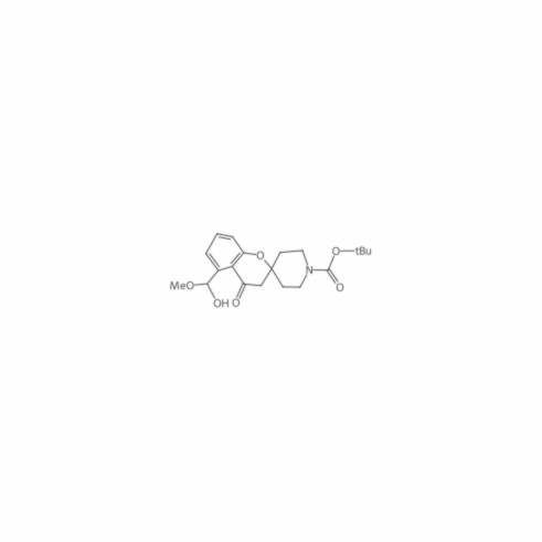 COC(O)c1cccc2c1C(=O)CC1(CCN(C(=O)OC(C)(C)C)CC1)O2